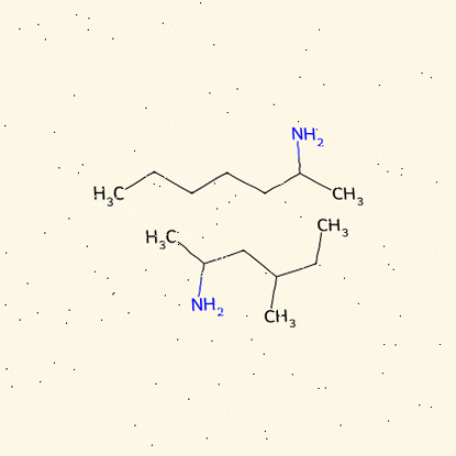 CCC(C)CC(C)N.CCCCCC(C)N